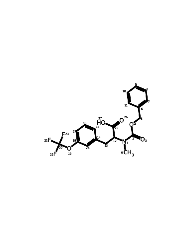 CN(C(=O)OCc1ccccc1)C(Cc1cccc(OC(F)(F)F)c1)C(=O)O